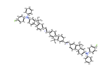 CC1(C)c2cc(/C=C/c3ccc4c(c3)C(C)(C)c3cc(N(c5ccccc5)c5ccc(F)cc5)ccc3-4)ccc2-c2ccc(/C=C/c3ccc4c(c3)C(C)(C)c3cc(N(c5ccccc5)c5ccc(F)cc5)ccc3-4)cc21